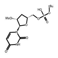 CCCCOP(=O)(O)OC[C@H]1C[C@@H](OC)[C@H](n2ccc(=O)[nH]c2=O)O1